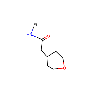 CCNC(=O)CC1CCOCC1